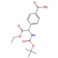 CCOC(=O)C(NC(=O)OC(C)(C)C)c1ccc(C(=O)O)cc1